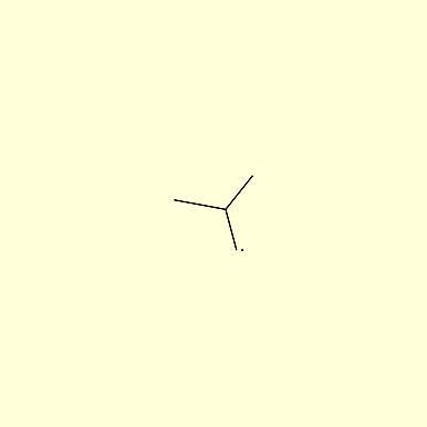 [CH2]C(C)C